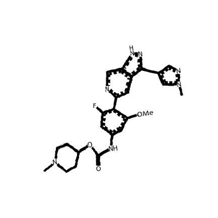 COc1cc(NC(=O)OC2CCN(C)CC2)cc(F)c1-c1cc2c(-c3cnn(C)c3)n[nH]c2cn1